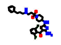 Nc1nc(NC2CCN(S(=O)(=O)CCNCCCc3ccccc3)CC2)sc1C(=O)c1c(F)cccc1F